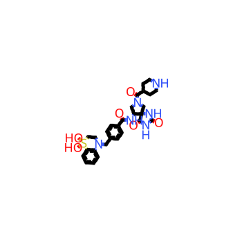 O=C1NC(=O)C2(CN(C(=O)C3CCNCC3)CC2NC(=O)c2ccc(CN3CCS(O)(O)c4ccccc43)cc2)N1